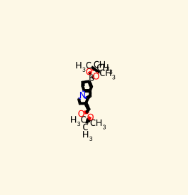 CC(C)(C)OC(=O)/C=C1\CCn2c1cc1cc(B3OC(C)(C)C(C)(C)O3)ccc12